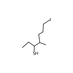 CCC(S)C(C)CCCI